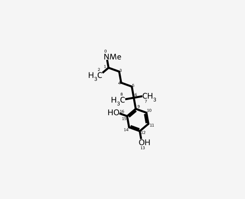 CNC(C)CCCC(C)(C)c1ccc(O)cc1O